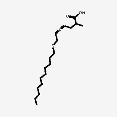 CCCCCCCCCCCSCC=C=CCC(C)C(=O)O